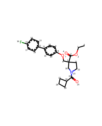 CCOC(=O)C1(COc2ccc(-c3ccc(F)cc3)cc2)CCN(C(=O)C2CCC2)C1